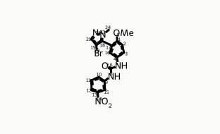 COc1ccc(NC(=O)Nc2cccc([N+](=O)[O-])c2)cc1-c1c(Br)cnn1C